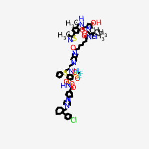 Cc1ncsc1-c1ccc([C@H](C)NC(=O)C2CC(O)CN2C(=O)[C@@H](NC(=O)CCCCCC(=O)N2CC3CN(CC[C@H](CSc4ccccc4)Nc4ccc(S(=O)(=O)NC(=O)c5ccc(N6CCN(CC7=C(c8ccc(Cl)cc8)CCCCC7)CC6)cc5)cc4S(=O)(=O)C(F)(F)F)CC3C2)C(C)(C)C)cc1